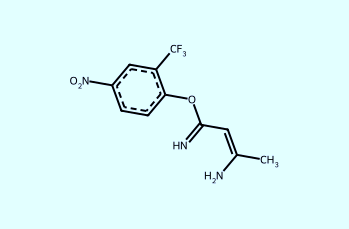 C/C(N)=C/C(=N)Oc1ccc([N+](=O)[O-])cc1C(F)(F)F